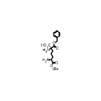 CC(C)(C)OC(=O)C(N)CCC[C@](N)(C(=O)O)C(=O)OCc1ccccc1